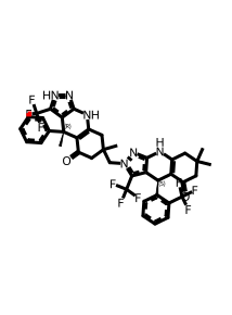 CC1(C)CC(=O)C2=C(C1)Nc1nn(CC3(C)CC(=O)C4=C(C3)Nc3n[nH]c(C(F)(F)F)c3[C@@]4(C)c3ccccc3)c(C(F)(F)F)c1[C@@H]2c1ccccc1C(F)(F)F